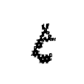 CCN(CC)C(=O)CCSC(Cc1cccc(Oc2cccc(C=Cc3ccc4ccc(Cl)cc4n3)c2)c1)SCCC(=O)O